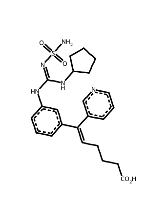 NS(=O)(=O)N=C(Nc1cccc(C(=CCCCC(=O)O)c2cccnc2)c1)NC1CCCC1